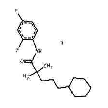 CC(C)(CCCC1CCCCC1)C(=O)Nc1ccc(F)[c]c1F.[Ti]